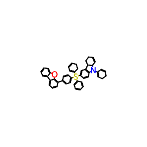 C1=CCCC(S(c2ccccc2)(c2ccc(-c3cccc4c3oc3ccccc34)cc2)c2ccc3c(c2)C2CCC=CC2N3C2=CCCC=C2)=C1